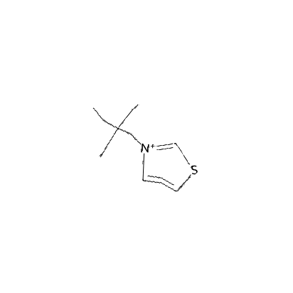 CC(C)(C)[n+]1ccsc1